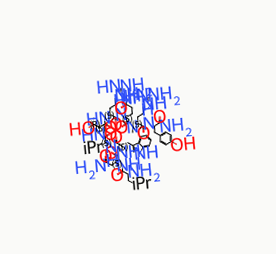 CC(C)CC(N)C(=O)N[C@@H](CC(N)=O)C(=O)N[C@@H](Cc1c[nH]c2ccccc12)C(=O)N[C@H](C(=O)N[C@H](C(=O)N[C@@H](CCCNC(=N)N)C(=O)N[C@@H](CCC(N)=O)C(=O)N(C)[C@@H](CCCNC(=N)N)C(=O)NC(Cc1ccc(O)cc1)C(N)=O)[C@@H](C)O)C(C)C